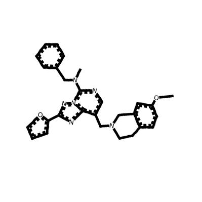 COc1ccc2c(c1)CN(Cc1cnc(N(C)Cc3ccccc3)n3nc(-c4ccco4)nc13)CC2